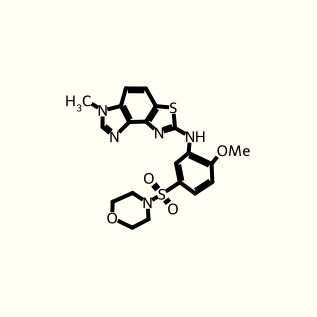 COc1ccc(S(=O)(=O)N2CCOCC2)cc1Nc1nc2c(ccc3c2ncn3C)s1